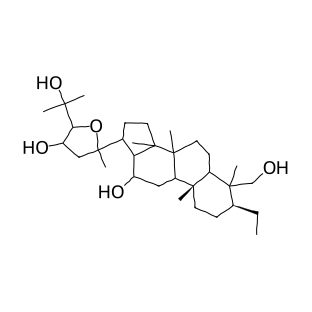 CC[C@H]1CC[C@@]2(C)C(CCC3(C)C2CC(O)C2C(C4(C)CC(O)C(C(C)(C)O)O4)CCC23C)C1(C)CO